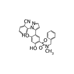 CN(Cc1ccccc1)S(=O)(=O)c1cc(-c2ccnn2-c2ccccc2C#N)c(O)cc1O